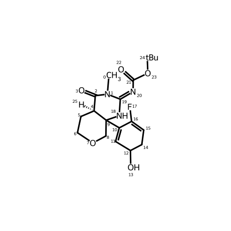 CN1C(=O)[C@@H]2CCOCC2(C2=CC(O)CC=C2F)NC1=NC(=O)OC(C)(C)C